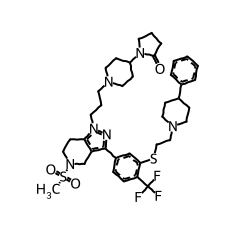 CS(=O)(=O)N1CCc2c(c(-c3ccc(C(F)(F)F)c(SCCN4CCC(c5ccccc5)CC4)c3)nn2CCCN2CCC(N3CCCC3=O)CC2)C1